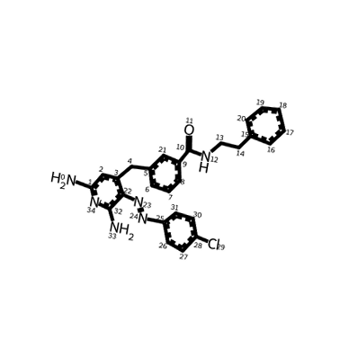 Nc1cc(Cc2cccc(C(=O)NCCc3ccccc3)c2)c(/N=N/c2ccc(Cl)cc2)c(N)n1